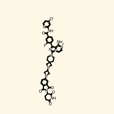 Nc1nccn2c(N3CCC4(CC3)CN(C3CN(c5ccc6c(c5)C(=O)N(C5CCC(=O)NC5=O)C6=O)C3)C4)nc(-c3ccc(C(=O)Nc4cc(Cl)ccn4)cc3F)c12